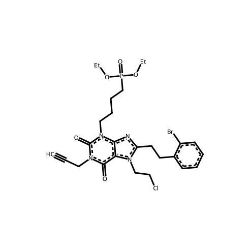 C#CCn1c(=O)c2c(nc(CCc3ccccc3Br)n2CCCl)n(CCCCP(=O)(OCC)OCC)c1=O